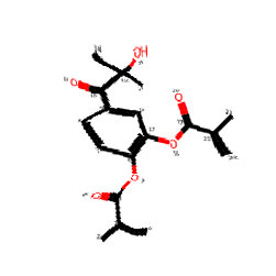 C=C(C)C(=O)Oc1ccc(C(=O)C(C)(C)O)cc1OC(=O)C(=C)C